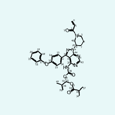 C=CC(=O)N1CCC[C@@H](n2nc(-c3ccc(Oc4ccccc4)cc3)c3c(NC(=O)O[C@H](OC(=O)C(C)C)C(C)C)ncnc32)C1